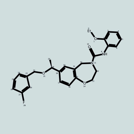 CCOc1ccccc1NC(=O)N1CCOc2ccc([C@H](C)OCc3cccc(F)c3)cc2C1